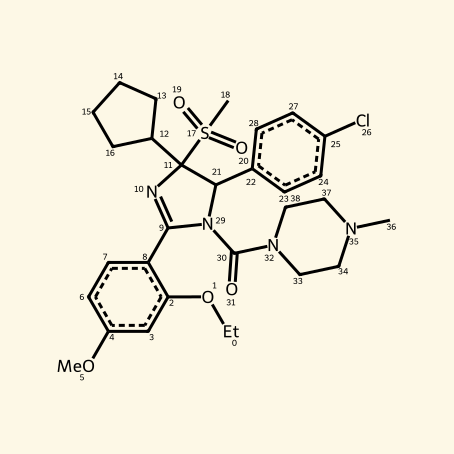 CCOc1cc(OC)ccc1C1=NC(C2CCCC2)(S(C)(=O)=O)C(c2ccc(Cl)cc2)N1C(=O)N1CCN(C)CC1